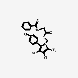 N#Cc1c(Cl)c(C(F)(F)F)n(COC(=O)CNC(=O)c2ccccc2)c1-c1ccc(Cl)cc1